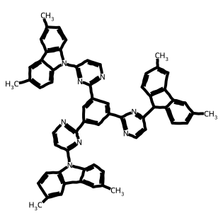 Cc1ccc2c(c1)-c1cc(C)ccc1C2c1ccnc(-c2cc(-c3nccc(-n4c5ccc(C)cc5c5cc(C)ccc54)n3)cc(-c3nccc(-n4c5ccc(C)cc5c5cc(C)ccc54)n3)c2)n1